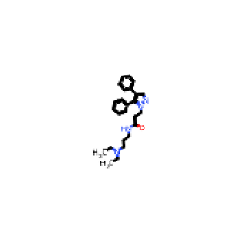 CCN(CC)CCCNC(=O)CCn1ncc(-c2ccccc2)c1-c1ccccc1